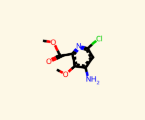 COC(=O)c1nc(Cl)cc(N)c1OC